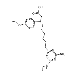 CCNc1cc(CCCCCC[C@@H](CC(=O)O)c2ccc(OCC)nc2)nc(N)n1